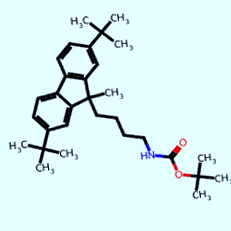 CC(C)(C)OC(=O)NCCCCC1(C)c2cc(C(C)(C)C)ccc2-c2ccc(C(C)(C)C)cc21